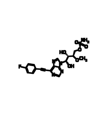 CO[C@H](COS(N)(=O)=O)[C@@H](O)[C@@H](O)n1cnc2c(C#Cc3ccc(F)cc3)ncnc21